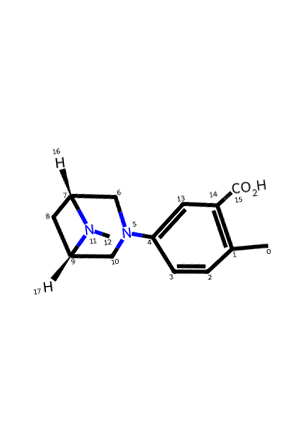 Cc1ccc(N2C[C@H]3C[C@@H](C2)N3C)cc1C(=O)O